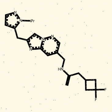 C=C(CC1CC(F)(F)C1)NCc1cnn2cc(Cc3ccnn3C(C)C)nc2c1